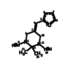 CCCCN1CC(=Cc2ccco2)CN(CCCC)C1(C)C